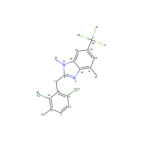 Cc1ccc(Cl)c(Cc2nc3c(C)cc(C(F)(F)F)cc3n2C)c1Cl